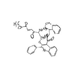 CC[C@H](NC(=O)c1c(OCC(N)C(=O)/C=C/C(=O)OC)c(-c2ccccc2)nc2ccccc12)c1ccccc1